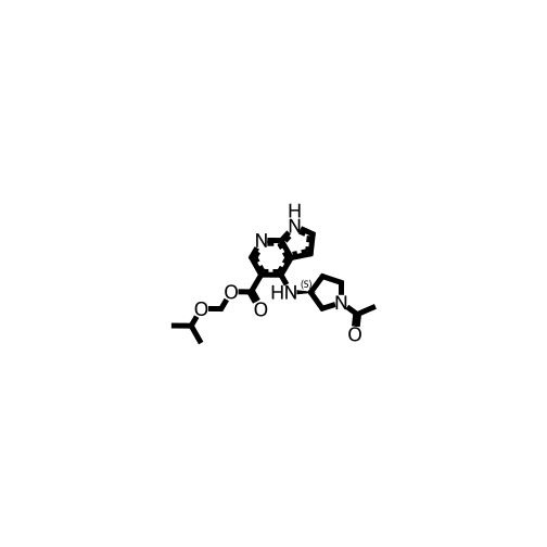 CC(=O)N1CC[C@H](Nc2c(C(=O)OCOC(C)C)cnc3[nH]ccc23)C1